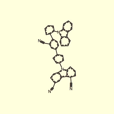 N#Cc1ccc2c(c1)c1c(C#N)cccc1n2-c1ccc(-c2ccc(-c3ccccc3-n3c4ccccc4c4ccccc43)c(C#N)c2)cc1